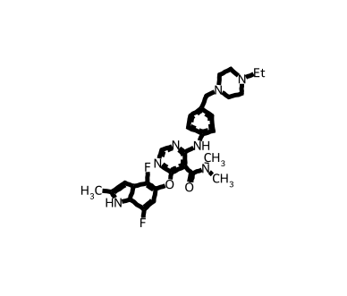 CCN1CCN(Cc2ccc(Nc3ncnc(OC4=C(F)C5C=C(C)NC5C(F)=C4)c3C(=O)N(C)C)cc2)CC1